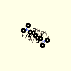 CC(C)(C)c1cc(N(c2ccccc2)c2ccccc2)cc2c1-c1cc3c(cc1C2(C)C)-c1c(C(C)(C)C)cc(N(c2ccccc2)c2ccccc2)cc1C3(C)C